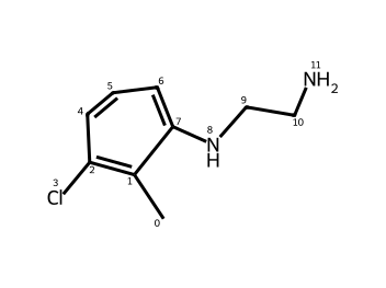 Cc1c(Cl)cccc1NCCN